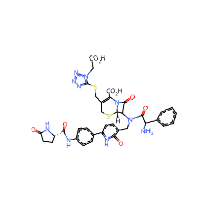 NC(C(=O)N(Cc1ccc(-c2ccc(NC(=O)[C@@H]3CCC(=O)N3)cc2)[nH]c1=O)C1C(=O)N2C(C(=O)O)=C(CSc3nnnn3CC(=O)O)CS[C@@H]12)c1ccccc1